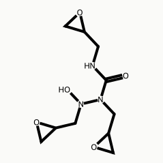 O=C(NCC1CO1)N(CC1CO1)N(O)CC1CO1